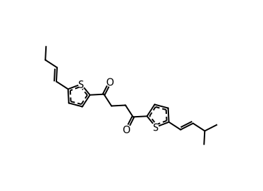 CC/C=C/c1ccc(C(=O)CCC(=O)c2ccc(/C=C/C(C)C)s2)s1